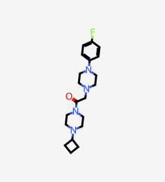 O=C(CN1CCN(c2ccc(F)cc2)CC1)N1CCN(C2CCC2)CC1